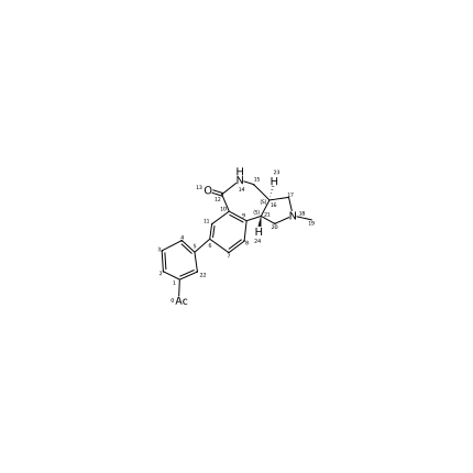 CC(=O)c1cccc(-c2ccc3c(c2)C(=O)NC[C@H]2CN(C)C[C@H]32)c1